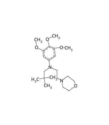 COc1cc(N(CCN2CCOCC2)CC(C)(C)C)cc(OC)c1OC